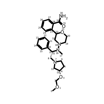 COCO[C@H]1CCN(C[C@H](c2ccccc2)N(C)N2CCOC(c3ccccc3C(N)=O)C2)C1